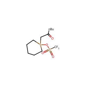 CCCCC(=O)CS1(OS(=O)(=O)C(F)(F)F)CCCCC1